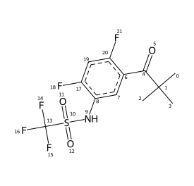 CC(C)(C)C(=O)c1cc(NS(=O)(=O)C(F)(F)F)c(F)cc1F